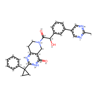 Cc1ncc(-c2cccc(C(O)C(=O)N3CCc4nc(C5(c6ccccc6)CC5)[nH]c(=O)c4C3)c2)cn1